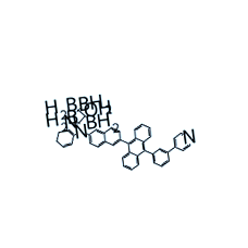 BC(B)(B)C(B)(O)c1nc2c(n1-c1ccc3cc(-c4c5ccccc5c(-c5cccc(-c6ccncc6)c5)c5ccccc45)ccc3c1)C=CCC2